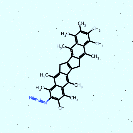 Cc1c(C)c(C)c2c(C)c3c(c(C)c2c1C)CC1=C3Cc2c1c(C)c1c(C)c(C)c(N=[N+]=[N-])c(C)c1c2C